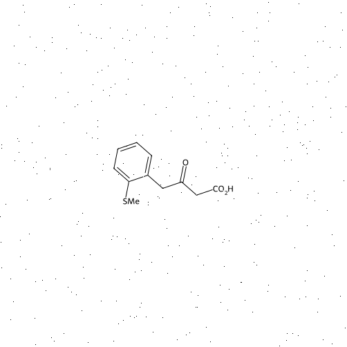 CSc1ccccc1CC(=O)CC(=O)O